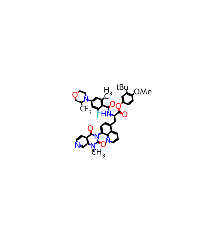 COc1ccc(OC(=O)C(Cc2ccc(-n3c(=O)c4ccncc4n(C)c3=O)c3ncccc23)NC(=O)c2c(C)cc(N3CCOC[C@@H]3C(F)(F)F)cc2F)cc1C(C)(C)C